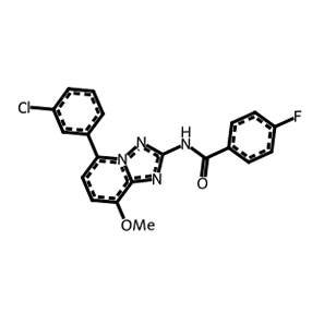 COc1ccc(-c2cccc(Cl)c2)n2nc(NC(=O)c3ccc(F)cc3)nc12